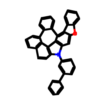 c1ccc(-c2cccc(-n3c4cc5oc6ccccc6c5c5c4c4c6c(cccc6ccc43)-c3ccccc3-5)c2)cc1